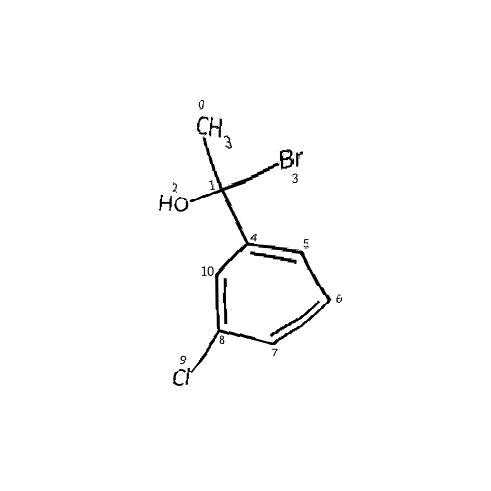 CC(O)(Br)c1cccc(Cl)c1